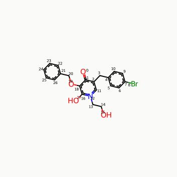 O=c1c(Cc2ccc(Br)cc2)cn(CCO)c(O)c1OCc1ccccc1